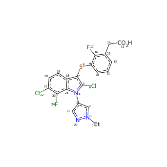 CCn1cc(-n2c(Cl)c(Sc3cccc(CC(=O)O)c3F)c3ccc(Cl)c(F)c32)cn1